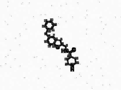 O=C(NCC1Cc2cc(Cc3ccccc3)ccc2O1)C1CCNCC1